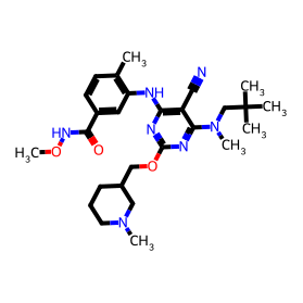 CONC(=O)c1ccc(C)c(Nc2nc(OCC3CCCN(C)C3)nc(N(C)CC(C)(C)C)c2C#N)c1